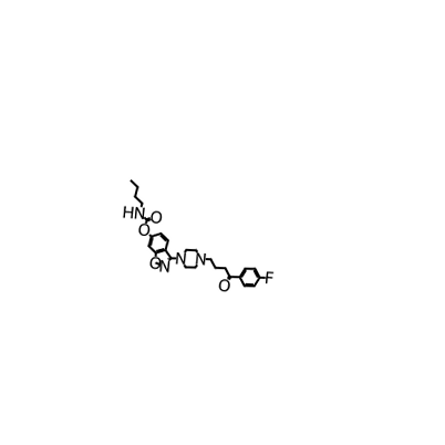 CCCCNC(=O)Oc1ccc2c(N3CCN(CCCC(=O)c4ccc(F)cc4)CC3)noc2c1